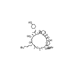 CCC(C)C/C=C/C[C@@H]1/C=C(\C)C[C@H](C)C[C@H](OC)[C@H]2O[C@@](O)(C(=O)C(=O)N3CCCC[C@H]3C(=O)O[C@H](/C(C)=C/[C@H]3CC[C@H](O)CC3)[C@H](C)[C@@H](O)CC1=O)[C@H](C)C[C@@H]2OC